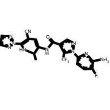 CC1NC(n2nccn2)=C(C#N)C=C1NC(=O)c1cnn(-c2ccc(F)c(N)n2)c1C(F)(F)F